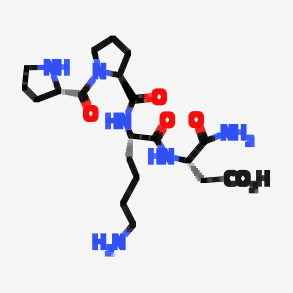 NCCCC[C@H](NC(=O)[C@@H]1CCCN1C(=O)[C@@H]1CCCN1)C(=O)N[C@@H](CC(=O)O)C(N)=O